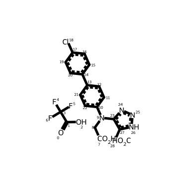 O=C(O)C(F)(F)F.O=C(O)CN(c1ccc(-c2ccc(Cl)cc2)cc1)c1nn[nH]c1C(=O)O